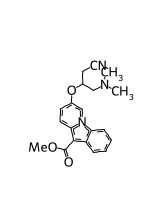 COC(=O)c1c2ccccc2n2cc(OC(CC#N)CN(C)C)ccc12